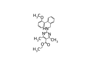 CCOC(=O)c1c(C)nc(NCc2ccccc2-c2ccccc2OC)nc1C